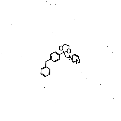 c1ccc(Cc2ccc(C3(Cn4ccnc4)OCCO3)cc2)cc1